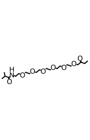 CCC(=O)COCCOCCOCCOCCOCCOCCNC(=O)C(C)C